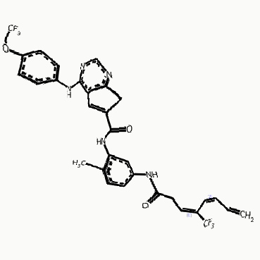 C=C/C=C\C(=C/CC(=O)Nc1ccc(C)c(NC(=O)C2=Cc3c(ncnc3Nc3ccc(OC(F)(F)F)cc3)C2)c1)C(F)(F)F